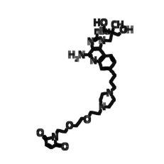 CCCCc1nc2c(N)nc3cc(CCCN4CCN(CCOCCOCCN5C(=O)C=CC5=O)CC4)ccc3c2n1CC(C)(CO)CO